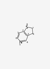 c1cc2c(cn1)CCS2